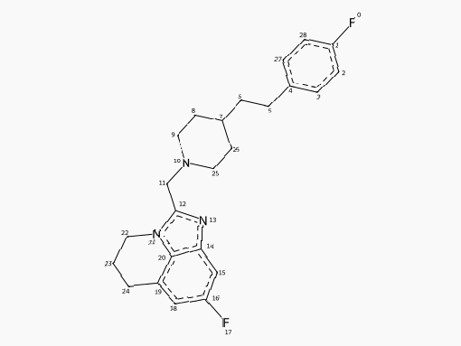 Fc1ccc(CCC2CCN(Cc3nc4cc(F)cc5c4n3CCC5)CC2)cc1